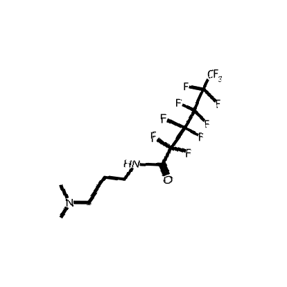 CN(C)CCCNC(=O)C(F)(F)C(F)(F)C(F)(F)C(F)(F)C(F)(F)F